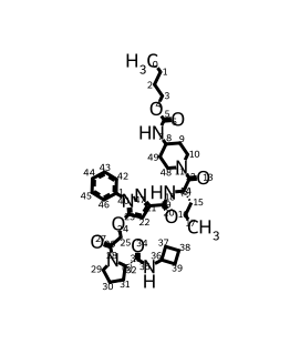 CCCCOC(=O)NC1CCN(C(=O)[C@H](CCC)NC(=O)c2cc(OCC(=O)N3CCC[C@H]3C(=O)NC3CCC3)n(-c3ccccc3)n2)CC1